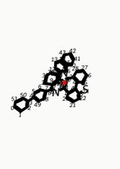 c1ccc(-c2ccc(-c3cc(-c4ccccc4)nc(-c4cccc5sc6cccc(-c7nc8ccccc8n7-c7ccccc7)c6c45)n3)cc2)cc1